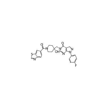 O=C(c1ccc2ncsc2c1)N1CCC(O)(Cn2cnc3c(cnn3-c3ccc(F)cc3)c2=O)CC1